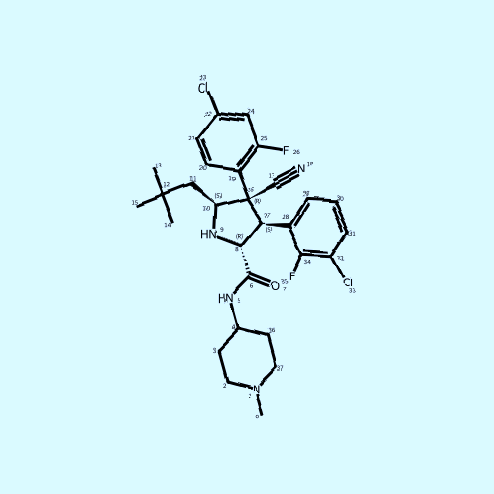 CN1CCC(NC(=O)[C@@H]2N[C@@H](CC(C)(C)C)[C@](C#N)(c3ccc(Cl)cc3F)[C@H]2c2cccc(Cl)c2F)CC1